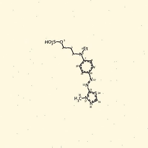 CCN(CCCOS(=O)(=O)O)c1ccc(N=Nc2scn[n+]2C)cc1